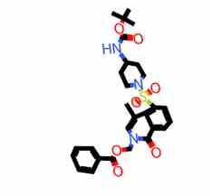 Cc1cn(COC(=O)c2ccccc2)c(=O)c2cccc(S(=O)(=O)N3CCC(NC(=O)OC(C)(C)C)CC3)c12